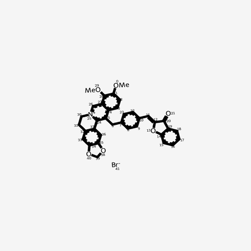 COc1ccc2c(Cc3ccc(/C=C4\Oc5ccccc5C4=O)cc3)c3[n+](cc2c1OC)CCc1cc2c(cc1-3)OCO2.[Br-]